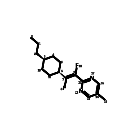 CCC[C@H]1CC[C@H](/C(F)=C(\F)c2ncc(C)cn2)CC1